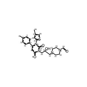 Cc1ccc(-c2cc(=O)n(CC(O)CN3CCN(C=O)CC3)c(=O)n2-c2cc(C)cs2)cc1